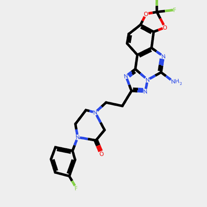 Nc1nc2c3c(ccc2c2nc(CCN4CCN(c5cccc(F)c5)C(=O)C4)nn12)OC(F)(F)O3